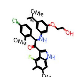 COc1cc(Cl)ccc1C(Nc1cc(OCCO)cc([C@@H](C)OC)c1)C(=O)c1c[nH]c2cc(OC)c(C)c(F)c12